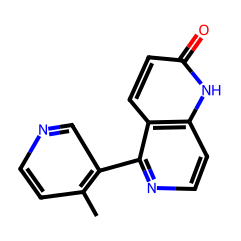 Cc1ccncc1-c1nccc2[nH]c(=O)ccc12